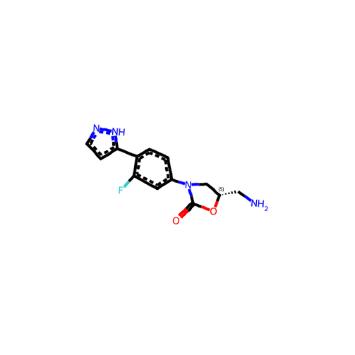 NC[C@H]1CN(c2ccc(-c3ccn[nH]3)c(F)c2)C(=O)O1